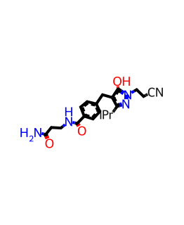 CC(C)c1nn(CCC#N)c(O)c1Cc1ccc(C(=O)NCCC(N)=O)cc1